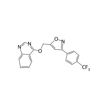 FC(F)(F)c1ccc(-c2cc(COc3ncnc4ccccc34)on2)cc1